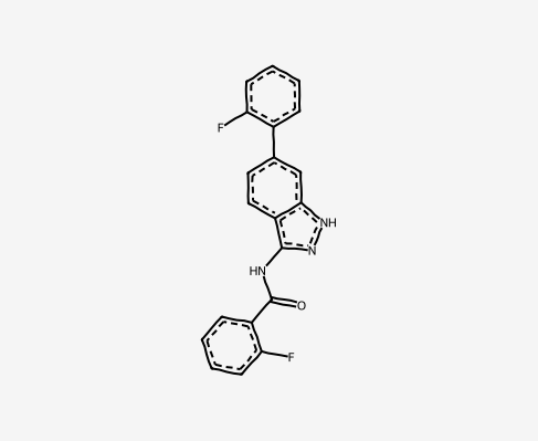 O=C(Nc1n[nH]c2cc(-c3ccccc3F)ccc12)c1ccccc1F